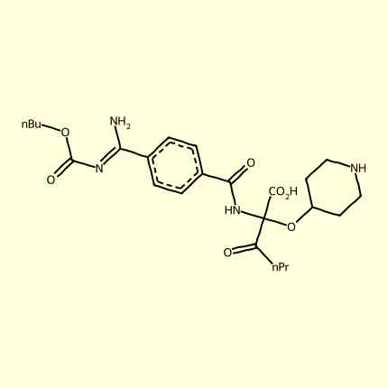 CCCCOC(=O)N=C(N)c1ccc(C(=O)NC(OC2CCNCC2)(C(=O)O)C(=O)CCC)cc1